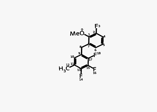 COc1c(F)cccc1Cc1cc(C)c(F)c(F)c1F